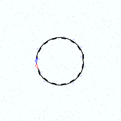 [C]1=N\O/C=C/C=C\C=CC=C\C=C/C=C\C=C/C=C/C=C\C=C/C=C\C=CC=C\C=C/1